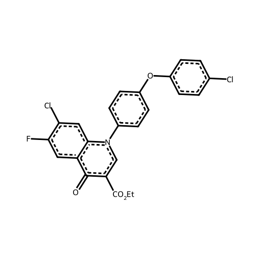 CCOC(=O)c1cn(-c2ccc(Oc3ccc(Cl)cc3)cc2)c2cc(Cl)c(F)cc2c1=O